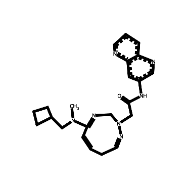 CN(CC1CCC1)C1=N/CN(CC(=O)Nc2cnc3cccnc3c2)/N=C\C/C=C\1